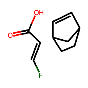 C1=CC2CCC1C2.O=C(O)C=CF